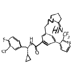 N=C1CCCN1Cc1cc(C(=O)NC(c2ccc(F)c(Cl)c2)C2CC2)cc(-c2cccnc2C(F)(F)F)c1